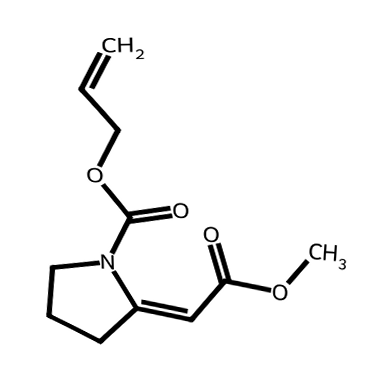 C=CCOC(=O)N1CCC/C1=C/C(=O)OC